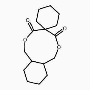 O=C1OCC2CCCCC2COC(=O)C12CCCCC2